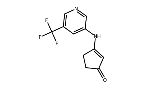 O=C1C=C(Nc2cncc(C(F)(F)F)c2)CC1